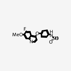 COc1cc2nccc(Oc3ccc(N[SH](=O)=O)cc3)c2cc1F